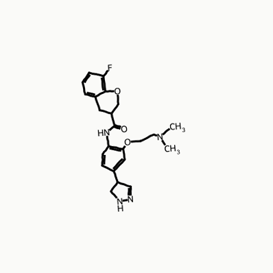 CN(C)CCOc1cc(C2C=NNC2)ccc1NC(=O)C1COc2c(F)cccc2C1